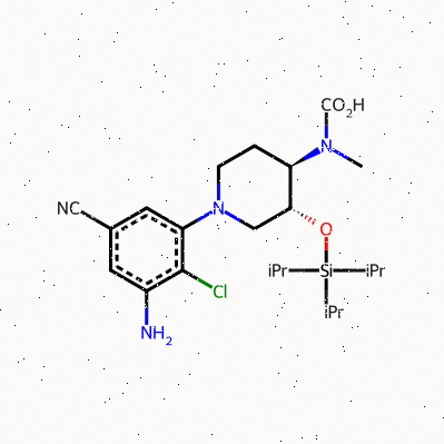 CC(C)[Si](O[C@@H]1CN(c2cc(C#N)cc(N)c2Cl)CC[C@H]1N(C)C(=O)O)(C(C)C)C(C)C